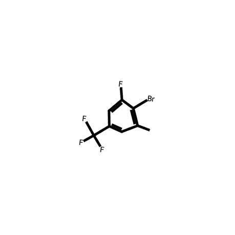 Cc1cc(C(F)(F)F)cc(F)c1Br